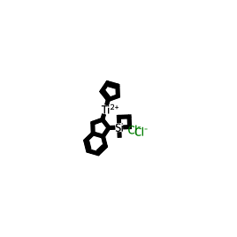 C[Si]1(C2[CH]([Ti+2][C]3=CC=CC3)CC3C=CC=CC32)CCC1.[Cl-].[Cl-]